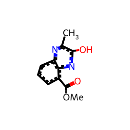 COC(=O)c1cccc2nc(C)c(O)nc12